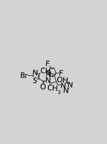 Cc1nc(Br)sc1C(=O)NC(C)C(O)(Cn1cncn1)c1ccc(F)cc1F